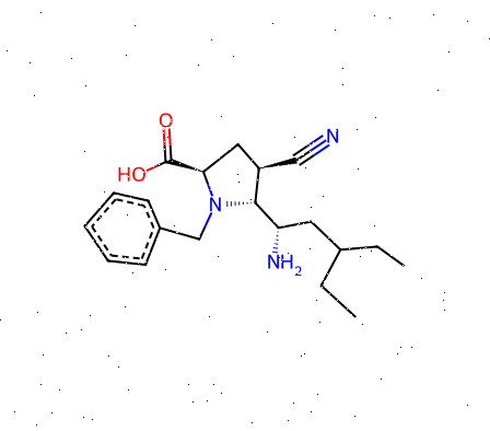 CCC(CC)C[C@H](N)[C@H]1[C@H](C#N)C[C@H](C(=O)O)N1Cc1ccccc1